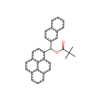 CC(C)(C)C(=O)OC(c1ccc2ccccc2c1)c1ccc2ccc3cccc4ccc1c2c34